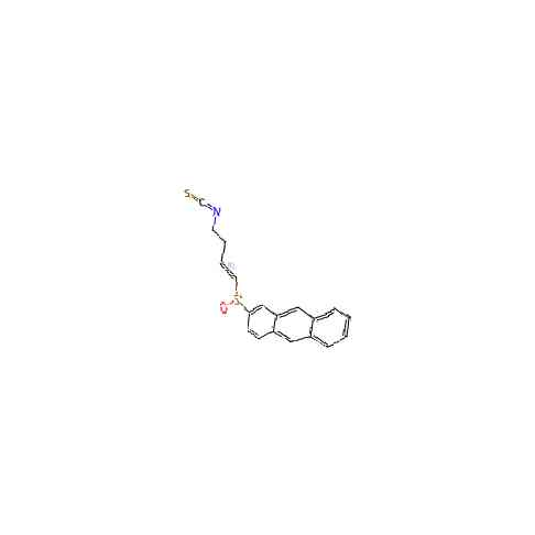 [O-][S+](/C=C/CCN=C=S)c1ccc2cc3ccccc3cc2c1